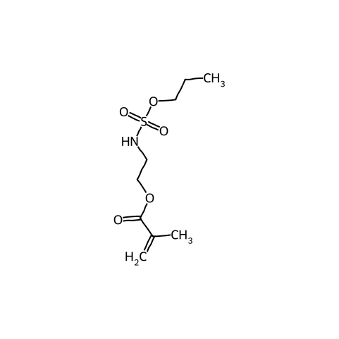 C=C(C)C(=O)OCCNS(=O)(=O)OCCC